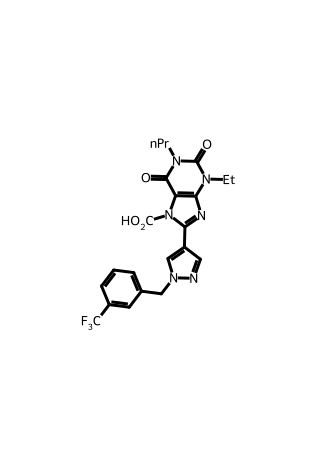 CCCn1c(=O)c2c(nc(-c3cnn(Cc4cccc(C(F)(F)F)c4)c3)n2C(=O)O)n(CC)c1=O